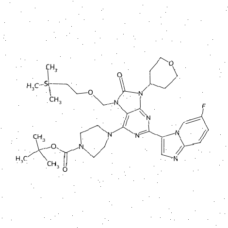 CC(C)(C)OC(=O)N1CCN(c2nc(-c3cnc4ccc(F)cn34)nc3c2n(COCC[Si](C)(C)C)c(=O)n3C2CCOCC2)CC1